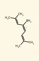 B/C(C=C(C)C)=C/C=C(C)C